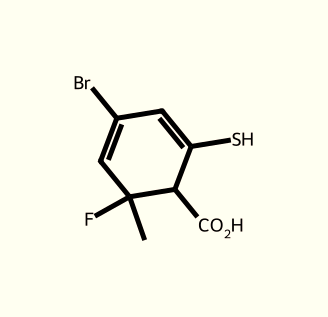 CC1(F)C=C(Br)C=C(S)C1C(=O)O